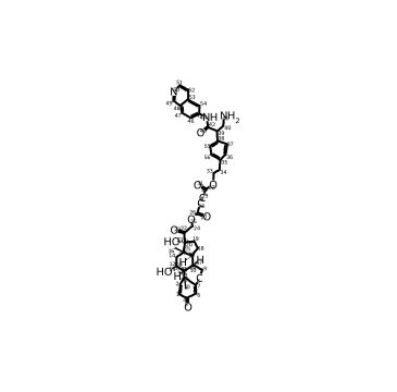 C[C@]12C=CC(=O)C=C1CC[C@@H]1[C@@H]2[C@@H](O)C[C@@]2(C)[C@H]1CC[C@]2(O)C(=O)COC(=O)CCC(=O)OCCc1ccc(C(CN)C(=O)Nc2ccc3cnccc3c2)cc1